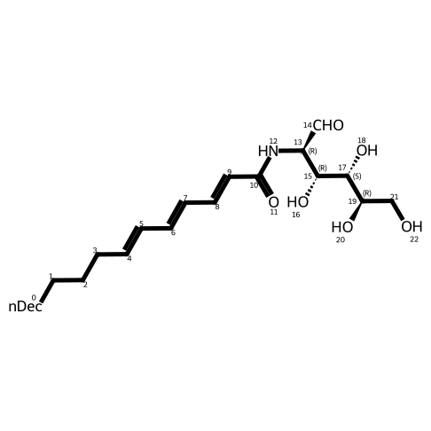 CCCCCCCCCCCCCC=CC=CC=CC(=O)N[C@@H](C=O)[C@@H](O)[C@H](O)[C@H](O)CO